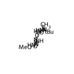 COCCCNC(=O)c1cnc(Nc2cc(COc3ccc(NC(=O)Nc4cc(C(C)(C)C)nn4-c4ccc(C)cc4)c4ccccc34)ccn2)cn1